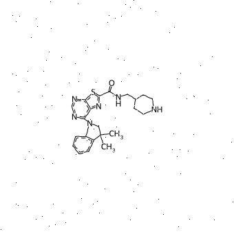 CC1(C)CN(c2ncnc3sc(C(=O)NCC4CCNCC4)nc23)c2ccccc21